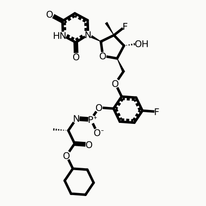 C[C@H](/N=[P+](\[O-])Oc1ccc(F)cc1OC[C@H]1O[C@@H](n2ccc(=O)[nH]c2=O)[C@](C)(F)[C@@H]1O)C(=O)OC1CCCCC1